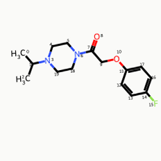 CC(C)N1CCN(C(=O)COc2ccc(F)cc2)CC1